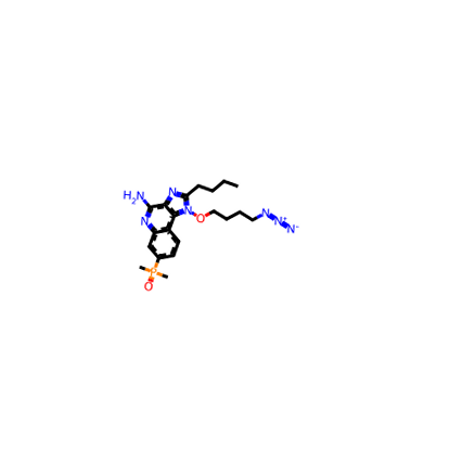 CCCCc1nc2c(N)nc3cc(P(C)(C)=O)ccc3c2n1OCCCCN=[N+]=[N-]